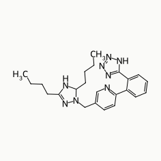 CCCCC1=NN(Cc2ccc(-c3ccccc3-c3nnn[nH]3)nc2)C(CCCC)N1